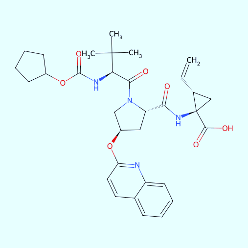 C=C[C@@H]1C[C@]1(NC(=O)[C@@H]1C[C@@H](Oc2ccc3ccccc3n2)CN1C(=O)[C@@H](NC(=O)OC1CCCC1)C(C)(C)C)C(=O)O